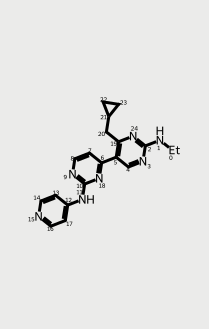 CCNc1ncc(-c2ccnc(Nc3ccncc3)n2)c(CC2CC2)n1